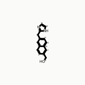 OCc1ccc2cc(Cc3ncc[nH]3)ccc2c1